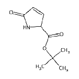 CC(C)(C)OC(=O)C1C=CC(=O)N1